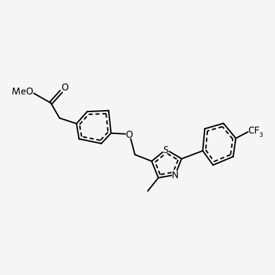 COC(=O)Cc1ccc(OCc2sc(-c3ccc(C(F)(F)F)cc3)nc2C)cc1